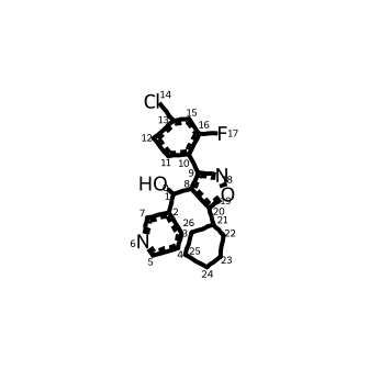 OC(c1cccnc1)c1c(-c2ccc(Cl)cc2F)noc1C1CCCCC1